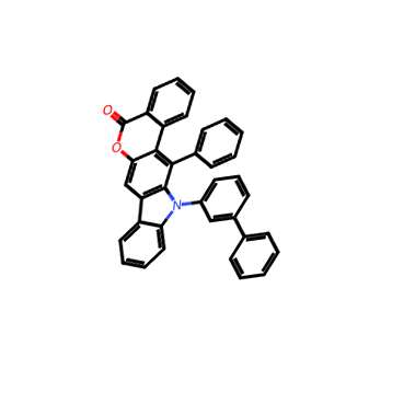 O=c1oc2cc3c4ccccc4n(-c4cccc(-c5ccccc5)c4)c3c(-c3ccccc3)c2c2ccccc12